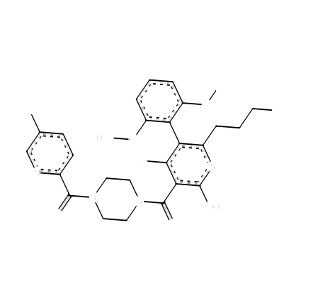 CCCCc1nc(O)c(C(=O)N2CCN(C(=O)c3ccc(Cl)cn3)CC2)c(O)c1-c1c(OC)cccc1OC